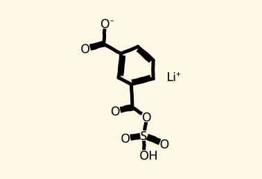 O=C([O-])c1cccc(C(=O)OS(=O)(=O)O)c1.[Li+]